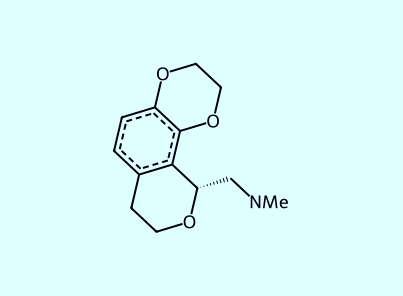 CNC[C@@H]1OCCc2ccc3c(c21)OCCO3